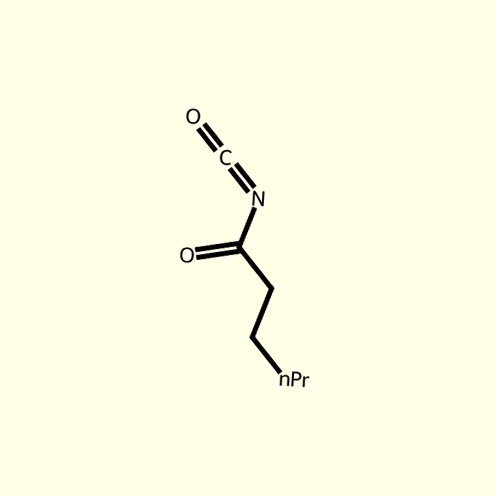 CCCCCC(=O)N=C=O